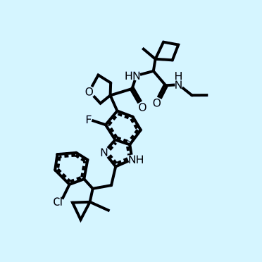 CCNC(=O)C(NC(=O)C1(c2ccc3[nH]c(CC(c4ccccc4Cl)C4(C)CC4)nc3c2F)CCOC1)C1(C)CCC1